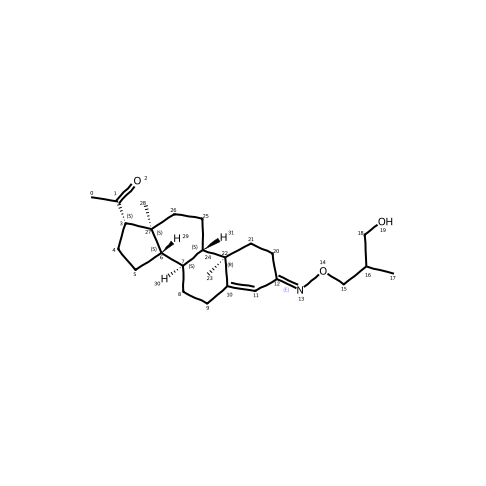 CC(=O)[C@H]1CC[C@H]2[C@@H]3CCC4=C/C(=N/OCC(C)CO)CC[C@]4(C)[C@H]3CC[C@]12C